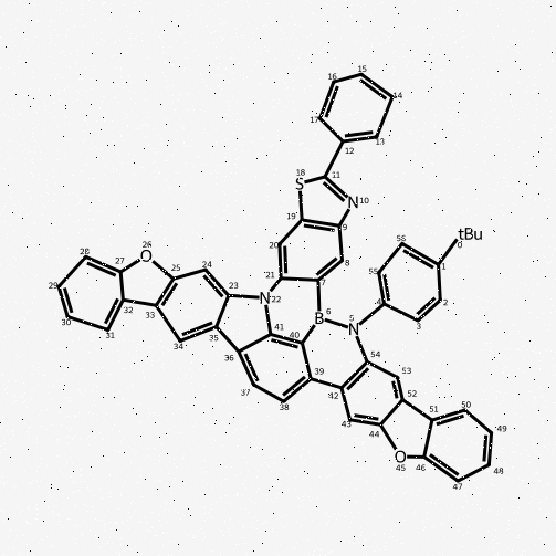 CC(C)(C)c1ccc(N2B3c4cc5nc(-c6ccccc6)sc5cc4-n4c5cc6oc7ccccc7c6cc5c5ccc(c3c54)-c3cc4oc5ccccc5c4cc32)cc1